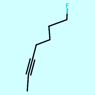 CC#CCCCCF